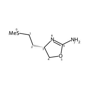 CSCC[C@H]1COC(N)=N1